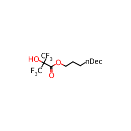 CCCCCCCCCCCCCOC(=O)C(O)(C(F)(F)F)C(F)(F)F